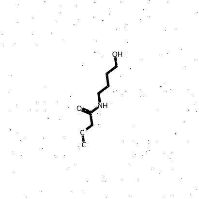 [CH2-][CH+]CC(=O)NCCCCO